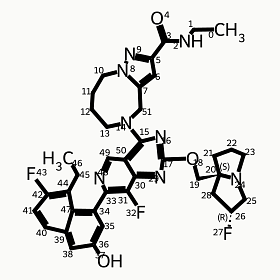 CCNC(=O)c1cc2n(n1)CCCCN(c1nc(OC[C@@]34CCCN3C[C@H](F)C4)nc3c(F)c(-c4cc(O)cc5ccc(F)c(CC)c45)ncc13)C2